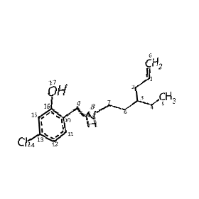 C=CCC(CC)CCNCc1ccc(Cl)cc1O